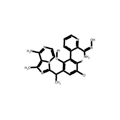 Cc1nc(C(C)c2cc(Cl)c(F)c(-c3cccnc3C(N)=NO)c2OC(C)C)n2ccnc(N)c12